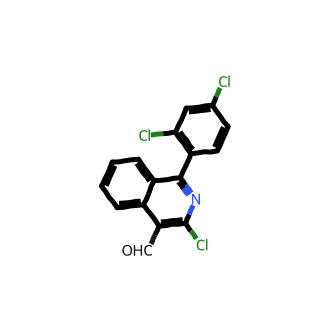 O=Cc1c(Cl)nc(-c2ccc(Cl)cc2Cl)c2ccccc12